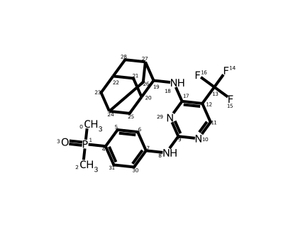 CP(C)(=O)c1ccc(Nc2ncc(C(F)(F)F)c(NC3C4CC5CC(C4)CC3C5)n2)cc1